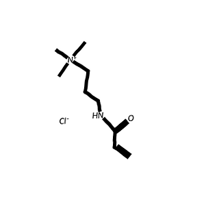 C=CC(=O)NCCC[N+](C)(C)C.[Cl-]